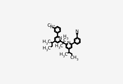 [C-]#[N+]c1cccc(-c2cc(C(C)CC)cc(C(C)(C)c3cc(C(C)CC)cc(-c4cccc(C#N)c4)n3)n2)c1